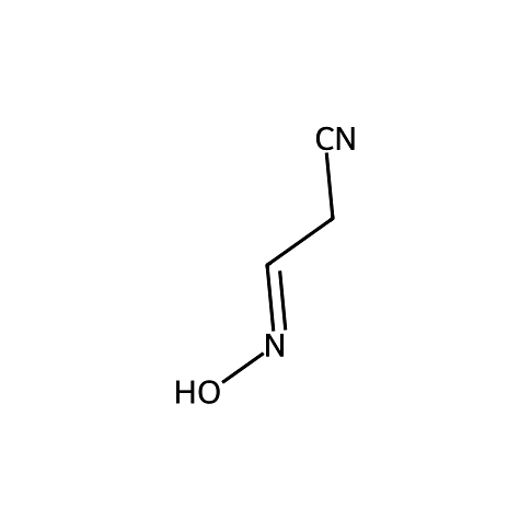 N#CCC=NO